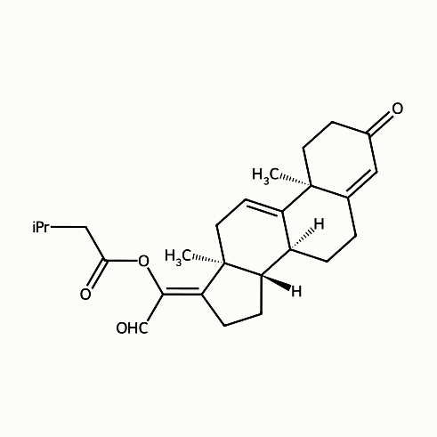 CC(C)CC(=O)O/C(C=O)=C1/CC[C@H]2[C@@H]3CCC4=CC(=O)CC[C@]4(C)C3=CC[C@]12C